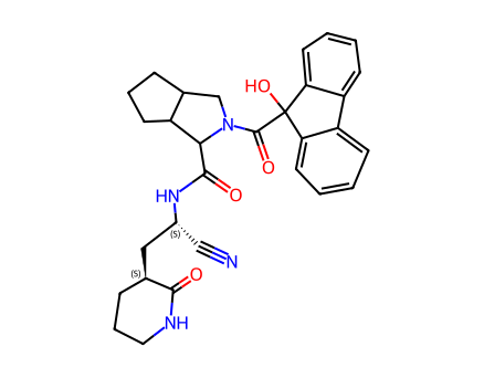 N#C[C@H](C[C@@H]1CCCNC1=O)NC(=O)C1C2CCCC2CN1C(=O)C1(O)c2ccccc2-c2ccccc21